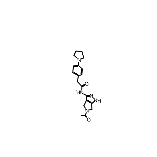 CC(=O)N1Cc2[nH]nc(NC(=O)Cc3ccc(N4CCCC4)cc3)c2C1